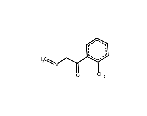 C=NCC(=O)c1ccccc1C